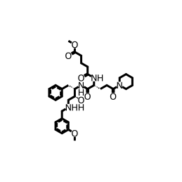 COC(=O)CCCC(=O)N[C@H](CCC(=O)N1CCCCC1)C(=O)N[C@@H](Cc1ccccc1)[C@H](O)CNCc1cccc(OC)c1